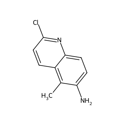 Cc1c(N)ccc2nc(Cl)ccc12